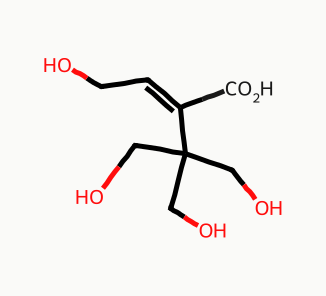 O=C(O)C(=CCO)C(CO)(CO)CO